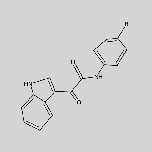 O=C(Nc1ccc(Br)cc1)C(=O)c1c[nH]c2ccccc12